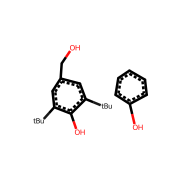 CC(C)(C)c1cc(CO)cc(C(C)(C)C)c1O.Oc1ccccc1